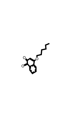 CCCCCCOC1=CC(=O)C(=O)c2ccccc21